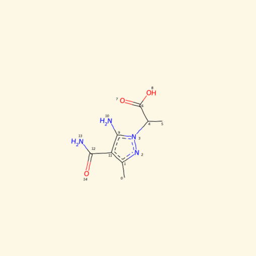 Cc1nn(C(C)C(=O)O)c(N)c1C(N)=O